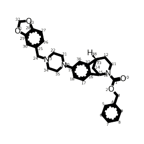 O=C(OCc1ccccc1)N1CC[C@@H]2CC1c1ccc(N3CCN(Cc4ccc5c(c4)OCO5)CC3)cc12